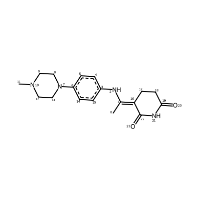 C/C(Nc1ccc(N2CCN(C)CC2)cc1)=C1/CCC(=O)NC1=O